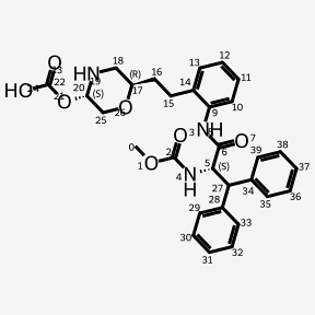 COC(=O)N[C@H](C(=O)Nc1ccccc1CC[C@@H]1CN[C@@H](OC(=O)O)CO1)C(c1ccccc1)c1ccccc1